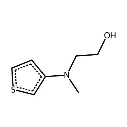 CN(CCO)c1ccsc1